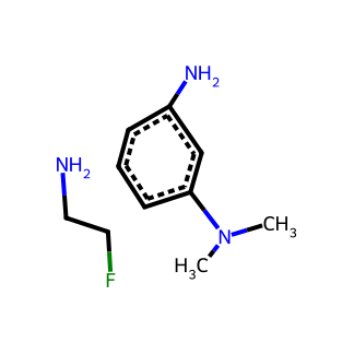 CN(C)c1cccc(N)c1.NCCF